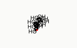 OCC1C(OC23CC4(O)CC5C2C2C6CC(O)(CC2(O)C5(O)C4)CC63O)OC(O)C(O)C1O